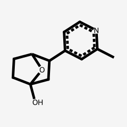 Cc1cc(C2CC3(O)CCC2O3)ccn1